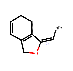 CCC/C=C1/OCC2=C1CCC=C2